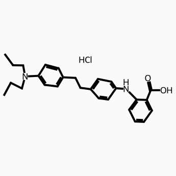 CCCN(CCC)c1ccc(CCc2ccc(Nc3ccccc3C(=O)O)cc2)cc1.Cl